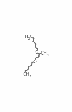 C=CCCCCOCCC(C)OCC=CCCC